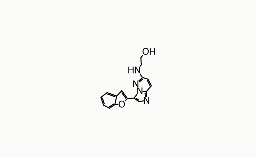 OCCNc1ccc2ncc(-c3cc4ccccc4o3)n2n1